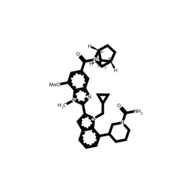 COc1cc(C(=O)N2C[C@H]3CC[C@@H]2[C@@H]3N)cc2nc(-c3cc4cccc(C5CCCN(C(N)=O)C5)c4n3CC3CC3)n(C)c12